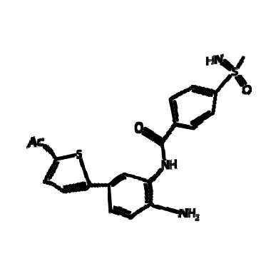 CC(=O)c1ccc(-c2ccc(N)c(NC(=O)c3ccc(S(C)(=N)=O)cc3)c2)s1